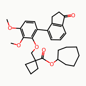 COc1ccc(-c2cccc3c2CCC3=O)c(OCC2(C(=O)OC3CCCCCC3)CCC2)c1OC